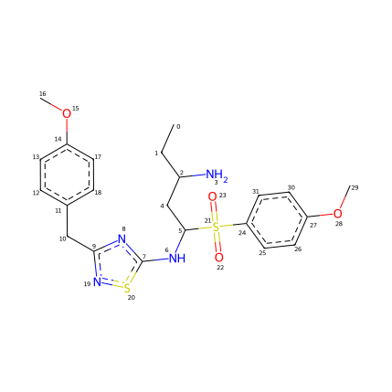 CCC(N)CC(Nc1nc(Cc2ccc(OC)cc2)ns1)S(=O)(=O)c1ccc(OC)cc1